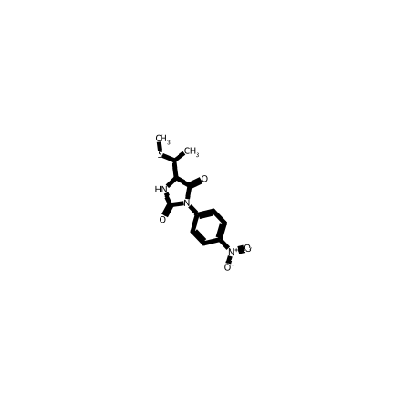 CSC(C)C1NC(=O)N(c2ccc([N+](=O)[O-])cc2)C1=O